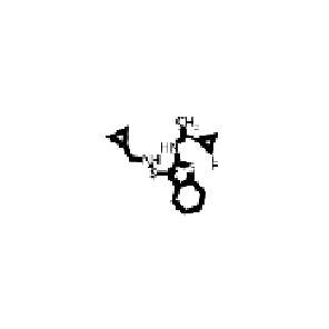 C=C(Nc1sc2c(c1SNCC1CC1)CCCC2)[C@H]1C[C@@H]1F